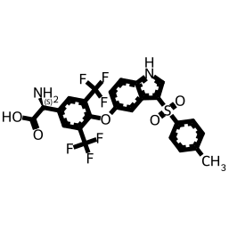 Cc1ccc(S(=O)(=O)c2c[nH]c3ccc(Oc4c(C(F)(F)F)cc([C@H](N)C(=O)O)cc4C(F)(F)F)cc23)cc1